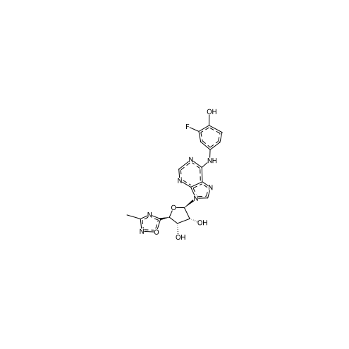 Cc1noc([C@H]2O[C@@H](n3cnc4c(Nc5ccc(O)c(F)c5)ncnc43)[C@H](O)[C@@H]2O)n1